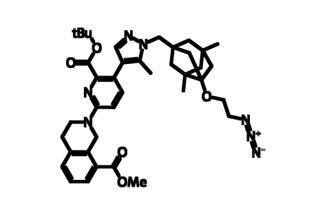 COC(=O)c1cccc2c1CN(c1ccc(-c3cnn(CC45CC6(C)CC(C)(C4)C(OCCN=[N+]=[N-])(C6)C5)c3C)c(C(=O)OC(C)(C)C)n1)CC2